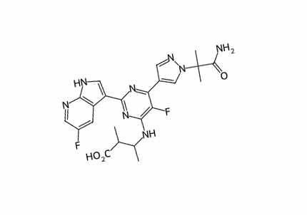 CC(Nc1nc(-c2c[nH]c3ncc(F)cc23)nc(-c2cnn(C(C)(C)C(N)=O)c2)c1F)C(C)C(=O)O